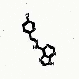 Clc1ccc(C=NNc2ncnc3[nH]cnc23)cc1